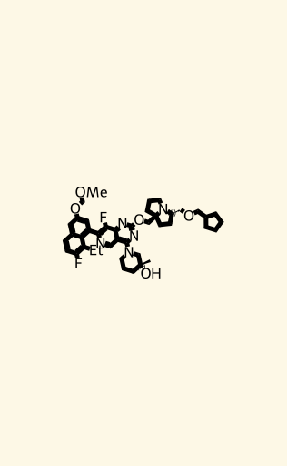 CCc1c(F)ccc2cc(OCOC)cc(-c3ncc4c(N5CCC[C@@](C)(O)C5)nc(OCC56CCCN5[C@H](COCC5CCCC5)CC6)nc4c3F)c12